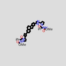 COC(=O)N[C@H](C(=O)N1CCCC1C1=CCC(c2ccc3c(c2)C=CC2C3=Cc3cc(C4C=NC(C5CCCN5C(=O)[C@@H](NC(=O)OC)C(C)C)=N4)ccc32)=C1)C(C)C